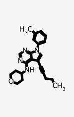 CCCC#Cc1cn(-c2cccc(C)c2)c2ncnc(NC3CCOCC3)c12